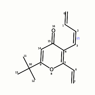 C=C/C=C\c1c(C=C)oc(C(C)(C)C)cc1=O